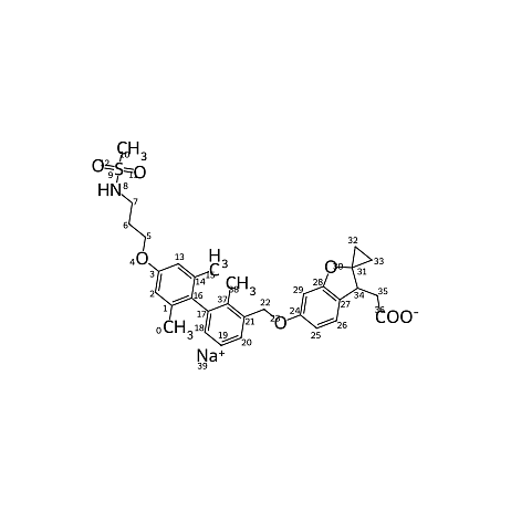 Cc1cc(OCCCNS(C)(=O)=O)cc(C)c1-c1cccc(COc2ccc3c(c2)OC2(CC2)C3CC(=O)[O-])c1C.[Na+]